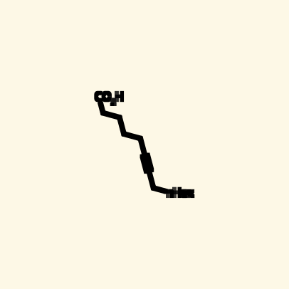 CCCCCCCC#CCCCCC(=O)O